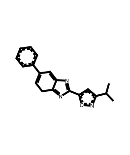 CC(C)c1cc(C2=NC3=CC(c4ccccc4)=CCC3=N2)on1